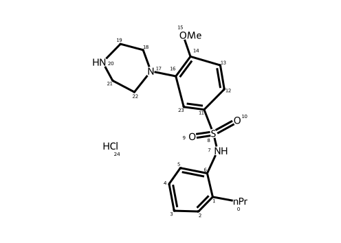 CCCc1ccccc1NS(=O)(=O)c1ccc(OC)c(N2CCNCC2)c1.Cl